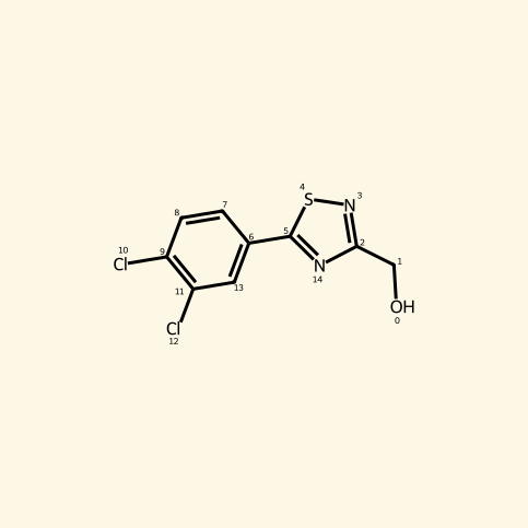 OCc1nsc(-c2ccc(Cl)c(Cl)c2)n1